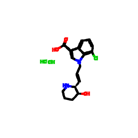 Cl.Cl.O=C(O)c1cn(C/C=C/[C@H]2NCCC[C@@H]2O)c2c(Cl)cccc12